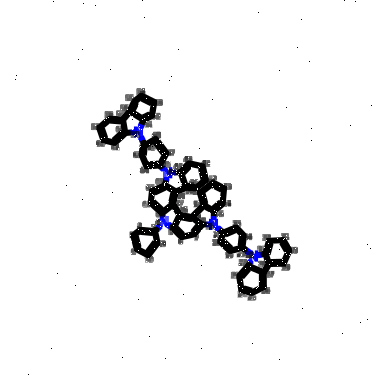 c1ccc(-n2c3ccc4c(c5ccccc5n4-c4ccc(-n5c6ccccc6c6ccccc65)cc4)c3c3c4c5ccccc5n(-c5ccc(-n6c7ccccc7c7ccccc76)cc5)c4ccc32)cc1